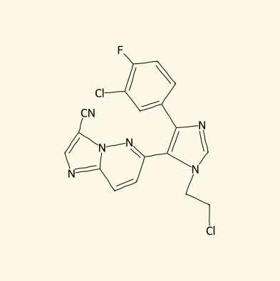 N#Cc1cnc2ccc(-c3c(-c4ccc(F)c(Cl)c4)ncn3CCCl)nn12